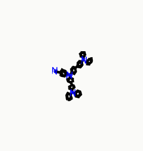 N#Cc1ccc(N(c2ccc(-c3ccc(N(c4ccccc4)c4ccccc4)cc3)cc2)c2ccc(-c3ccc(N(c4ccccc4)c4ccccc4)cc3)cc2)cc1